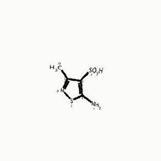 Cc1nsc(N)c1S(=O)(=O)O